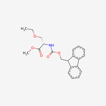 CCOC[C@H](NC(=O)OCC1c2ccccc2-c2ccccc21)C(=O)OC